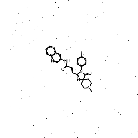 Cc1ccc(N2C(=O)C3(CCN(C)CC3)N=C2C=CC(=O)Nc2cnc3ccccc3c2)cc1